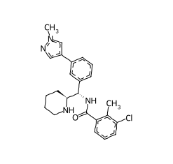 Cc1c(Cl)cccc1C(=O)N[C@@H](c1cccc(-c2cnn(C)c2)c1)[C@@H]1CCCCN1